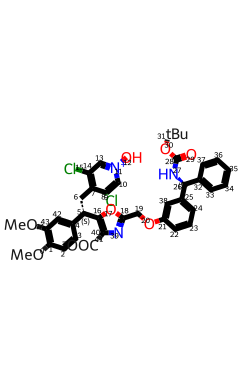 COc1ccc([C@H](Cc2c(Cl)c[n+](O)cc2Cl)c2oc(COc3cccc([C@@H](NC(=O)OC(C)(C)C)c4ccccc4)c3)nc2C(=O)[O-])cc1OC